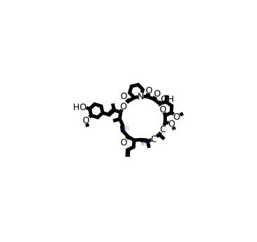 C=CCC1/C=C(\C)CC(C)CC(OC)C2OC(O)(C(=O)C(=O)N3CCCCC3C(=O)OC(C(C)=CC3CCC(O)C(OC)C3)C(C)/C=C/C1=O)C(C)CC2OC